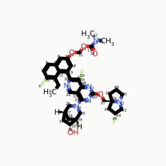 CCc1c(F)ccc2cc(OCOC(=O)N(C)C)cc(-c3ncc4c(N5C[C@@H]6C[C@H](C5)[C@H](O)C6)nc(OC[C@@]56CCCN5C[C@H](F)C6)nc4c3F)c12